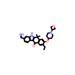 CCc1cc2c(cc1OC1CCN(C3COC3)CC1)C(C)(C)c1[nH]c3cc(C=N)ccc3c1C2=O